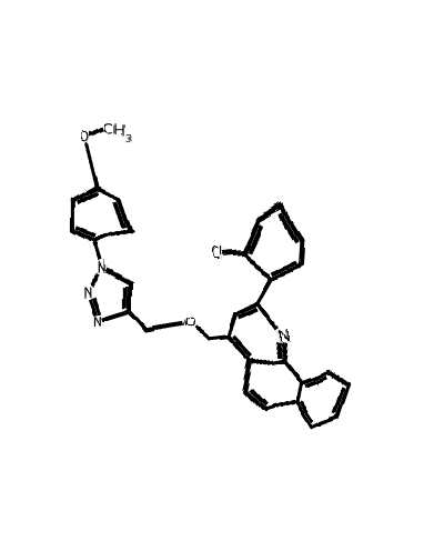 COc1ccc(-n2cc(COCc3cc(-c4ccccc4Cl)nc4c3ccc3ccccc34)nn2)cc1